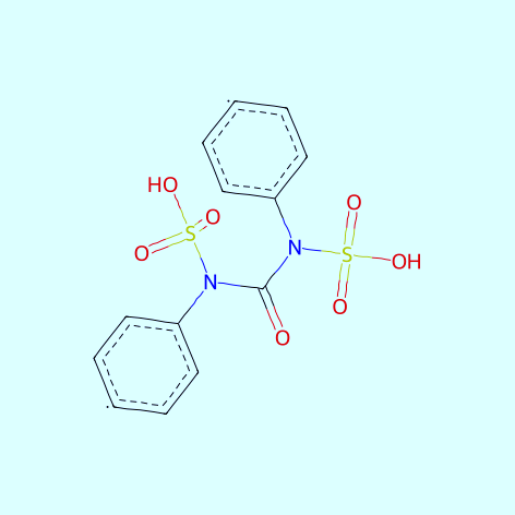 O=C(N(c1cc[c]cc1)S(=O)(=O)O)N(c1cc[c]cc1)S(=O)(=O)O